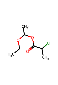 [CH2]C(OCC)OC(=O)C(C)Cl